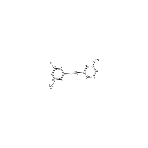 N#Cc1cccc(C#Cc2cc(F)cc(C#N)c2)c1